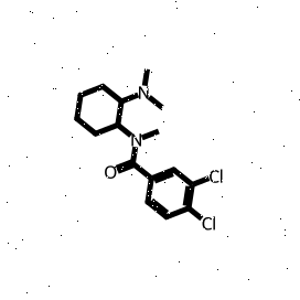 CN(C)C1CCCCC1N(C)C(=O)c1ccc(Cl)c(Cl)c1